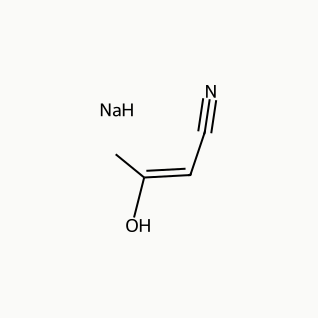 C/C(O)=C\C#N.[NaH]